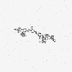 COc1cc(N=Nc2cc(OC)c(N=Nc3c(S(=O)(=O)O)cc4cc(NC=O)ccc4c3O)cc2C)ccc1N=Nc1ccc2cc(S(=O)(=O)O)cc(S(=O)(=O)O)c2c1